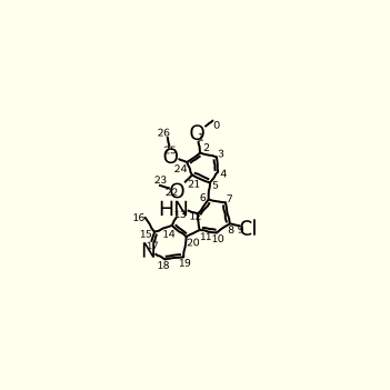 COc1ccc(-c2cc(Cl)cc3c2[nH]c2c(C)nccc23)c(OC)c1OC